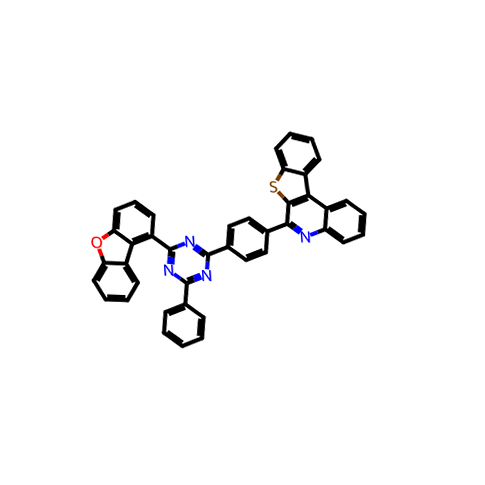 c1ccc(-c2nc(-c3ccc(-c4nc5ccccc5c5c4sc4ccccc45)cc3)nc(-c3cccc4oc5ccccc5c34)n2)cc1